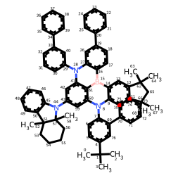 CC(C)(C)c1ccc(N2c3cc4c(cc3B3c5ccc(-c6ccccc6)cc5N(c5cccc(-c6ccccc6)c5)c5cc(N6c7ccccc7C7(C)CCCCC67C)cc2c53)C(C)(C)CC4(C)C)c(-c2ccccc2)c1